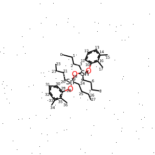 CCC[CH2][Sn]([CH2]CCC)([O]c1cccc(C)c1C)[O][Sn]([CH2]CCC)([CH2]CCC)[O]c1cccc(C)c1C